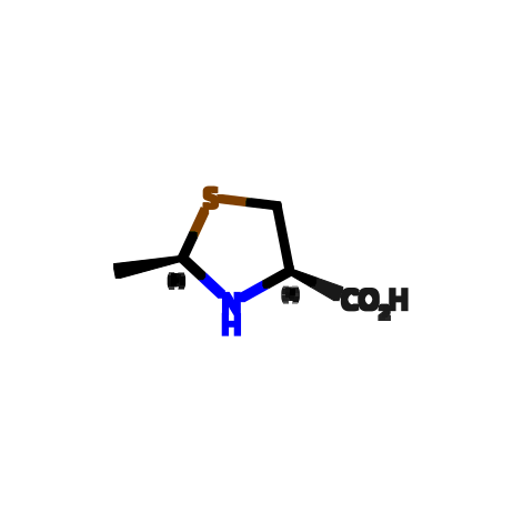 C[C@@H]1N[C@H](C(=O)O)CS1